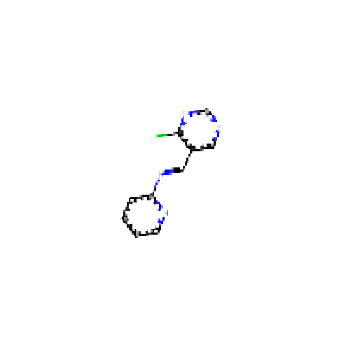 Clc1ncncc1C=Nc1ccccn1